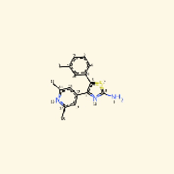 Cc1cccc(-c2sc(N)nc2-c2cc(C)nc(C)c2)c1